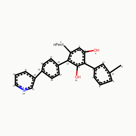 CCCCCc1cc(O)c(-c2cccc(C)c2)c(O)c1-c1ccc(-c2cccnc2)cc1